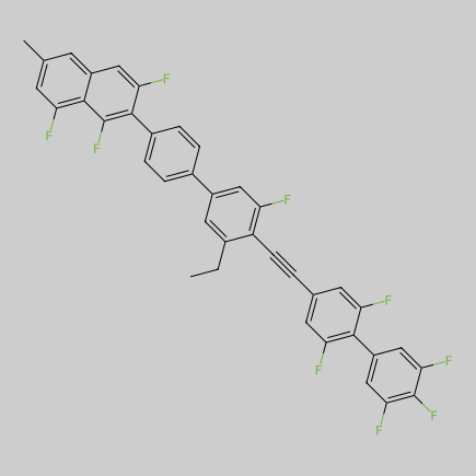 CCc1cc(-c2ccc(-c3c(F)cc4cc(C)cc(F)c4c3F)cc2)cc(F)c1C#Cc1cc(F)c(-c2cc(F)c(F)c(F)c2)c(F)c1